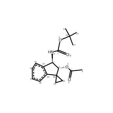 CC(=O)O[C@H]1[C@H](NC(=O)OC(C)(C)C)c2ccccc2C12CC2